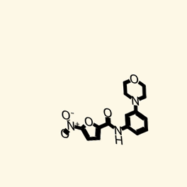 O=C(Nc1cccc(N2CCOCC2)c1)c1ccc([N+](=O)[O-])o1